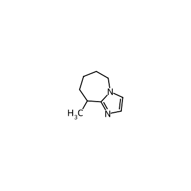 CC1CCCCn2ccnc21